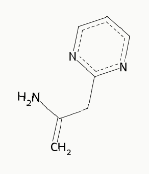 C=C(N)Cc1ncccn1